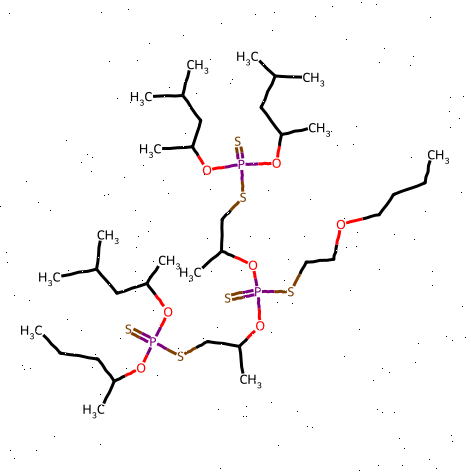 CCCCOCCSP(=S)(OC(C)CSP(=S)(OC(C)CCC)OC(C)CC(C)C)OC(C)CSP(=S)(OC(C)CC(C)C)OC(C)CC(C)C